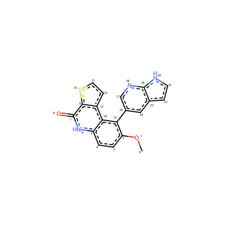 COc1ccc2[nH]c(=O)c3sccc3c2c1-c1cnc2[nH]ccc2c1